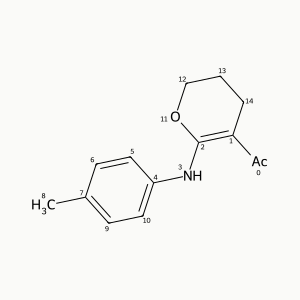 CC(=O)C1=C(Nc2ccc(C)cc2)OCCC1